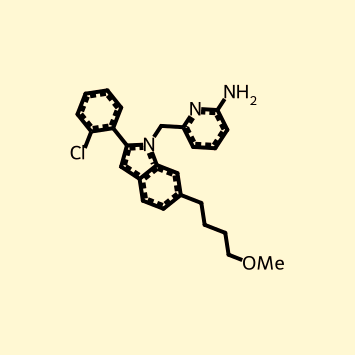 COCCCCc1ccc2cc(-c3ccccc3Cl)n(Cc3cccc(N)n3)c2c1